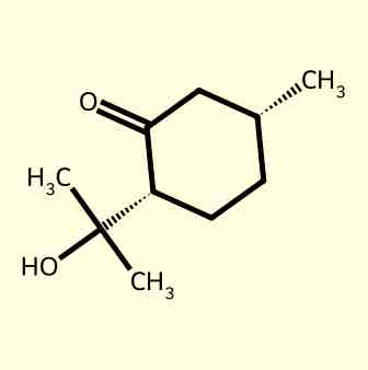 C[C@@H]1CC[C@H](C(C)(C)O)C(=O)C1